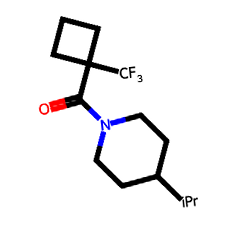 CC(C)C1CCN(C(=O)C2(C(F)(F)F)CCC2)CC1